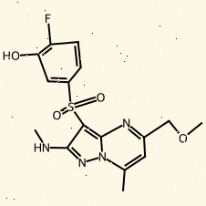 CNc1nn2c(C)cc(COC)nc2c1S(=O)(=O)c1ccc(F)c(O)c1